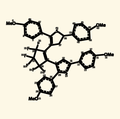 COc1ccc(C2=C(C3=C(c4cc(-c5ccc(OC)cc5)sc4-c4ccc(OC)cc4)C(F)(F)C(F)(F)C3(F)F)CC(c3ccc(OC)cc3)S2)cc1